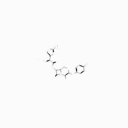 CON=C(C(=O)NC1C(=O)N2C(C(=O)O)=C(Sc3ccc([N+](=O)[O-])cc3)SCC12)c1csc(N)n1